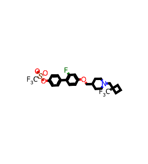 O=S(=O)(Oc1ccc(-c2ccc(OCC3CCN(CC4(C(F)(F)F)CCC4)CC3)cc2F)cc1)C(F)(F)F